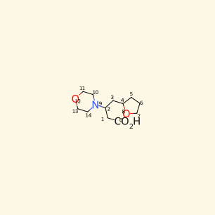 O=C(O)CC(CC1CCCO1)N1CCOCC1